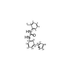 Cc1ccccc1NC(=O)Nc1cccc(-c2cccs2)c1